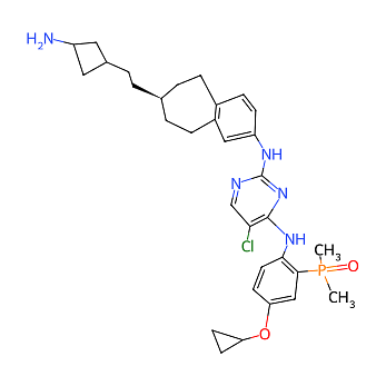 CP(C)(=O)c1cc(OC2CC2)ccc1Nc1nc(Nc2ccc3c(c2)CC[C@@H](CCC2CC(N)C2)CC3)ncc1Cl